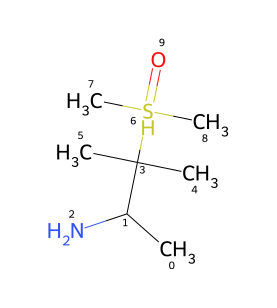 CC(N)C(C)(C)[SH](C)(C)=O